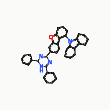 c1ccc(C2=NC(c3ccc4c(c3)oc3cccc(-n5c6ccccc6c6ccccc65)c34)=NC(c3ccccc3)N2)cc1